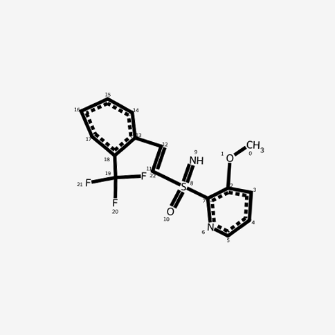 COc1cccnc1S(=N)(=O)/C=C/c1ccccc1C(F)(F)F